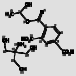 CC(O)OC(=O)c1ccc(C(=O)O)cc1C(=O)O.NC(CO)(CO)CO